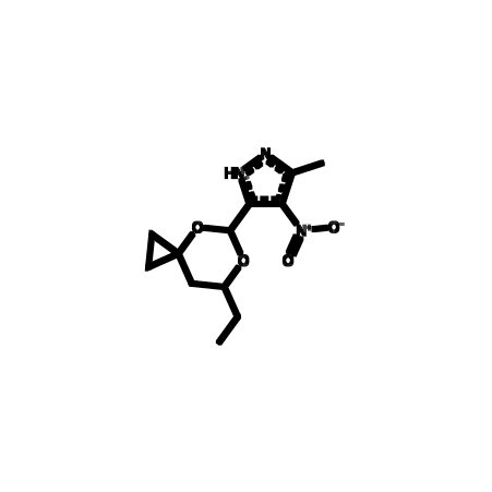 CCC1CC2(CC2)OC(c2[nH]nc(C)c2[N+](=O)[O-])O1